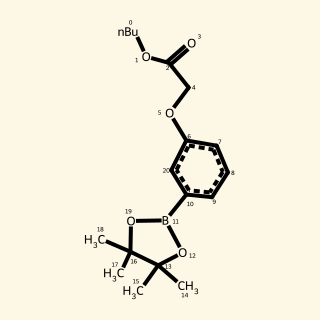 CCCCOC(=O)COc1cccc(B2OC(C)(C)C(C)(C)O2)c1